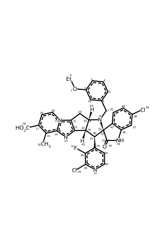 CCOc1cccc(CN2[C@H]3Cc4c(nc5c(C)c(C(=O)O)ccn45)[C@H]3[C@H](c3ccnc(Cl)c3F)[C@]23C(=O)Nc2cc(Cl)ccc23)c1